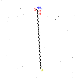 NC(=O)C(O)CCCCCCCCCCCCCCCCCCCCCCCCCCCCCCCCCS